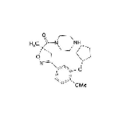 COc1ccc(C2=NOC(C)(C(=O)N3CCNCC3)C2)cc1OC1CCCC1